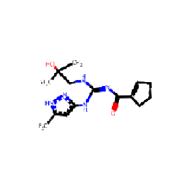 CC(C)(O)CN/C(=N/C(=O)C1=CCCC1)Nc1cc(C(F)(F)F)[nH]n1